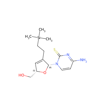 C[Si](C)(C)CCC1=C[C@@H](CO)O[C@H]1n1ccc(N)nc1=S